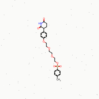 Cc1ccc(S(=O)(=O)OCCOCCOCCOc2ccc(C3CCC(=O)NC3=O)cc2)cc1